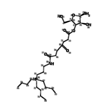 B[C@@H]1O[C@H](CO)C(OC(=O)CCC(=O)CCC(=O)NCCC[PH](CCCC)(CCCC)CCCC)[C@@H]1O